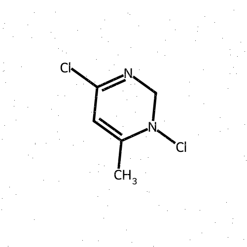 CC1=CC(Cl)=NCN1Cl